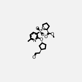 COC(=O)[C@@H]1CCCN1S(=O)(=O)c1ccc(C)nc1O[C@@H]1CC[C@@H](CC=O)C1